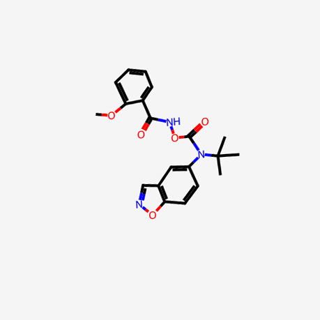 COc1ccccc1C(=O)NOC(=O)N(c1ccc2oncc2c1)C(C)(C)C